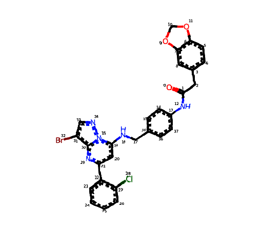 O=C(Cc1ccc2c(c1)OCO2)Nc1ccc(CNc2cc(-c3ccccc3Cl)nc3c(Br)cnn23)cc1